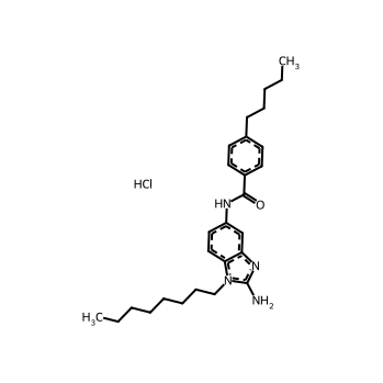 CCCCCCCCn1c(N)nc2cc(NC(=O)c3ccc(CCCCC)cc3)ccc21.Cl